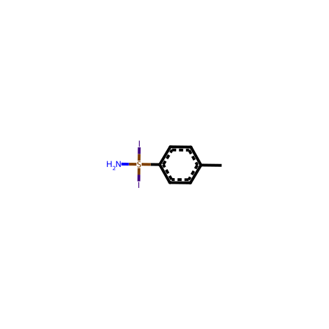 Cc1ccc(S(N)(I)I)cc1